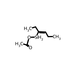 CCC=C(CC)[SiH2]OC(C)=O